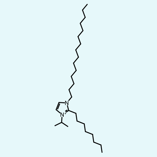 CCCCCCCCCCCCCCCn1cc[n+](C(C)C)c1CCCCCCCC